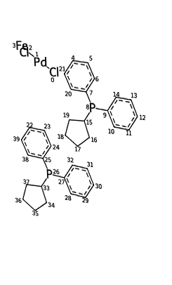 [Cl][Pd][Cl].[Fe].c1ccc(P(c2ccccc2)C2CCCC2)cc1.c1ccc(P(c2ccccc2)C2CCCC2)cc1